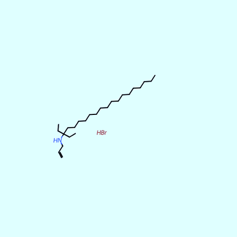 Br.C=CCNC(CC)(CC)CCCCCCCCCCCCCCCCC